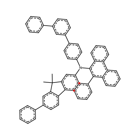 CC1(C)c2cc(-c3ccccc3)ccc2-c2ccc(N(c3ccc(-c4cccc(-c5ccccc5)c4)cc3)c3c(-c4ccccc4)c4ccccc4c4ccccc34)cc21